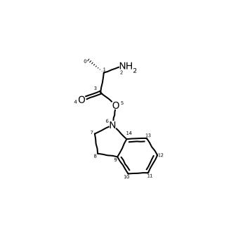 C[C@H](N)C(=O)ON1CCc2ccccc21